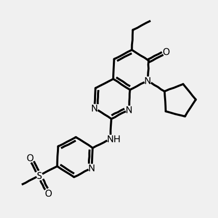 CCc1cc2cnc(Nc3ccc(S(C)(=O)=O)cn3)nc2n(C2CCCC2)c1=O